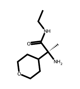 CCNC(=O)[C@@](C)(N)C1CCOCC1